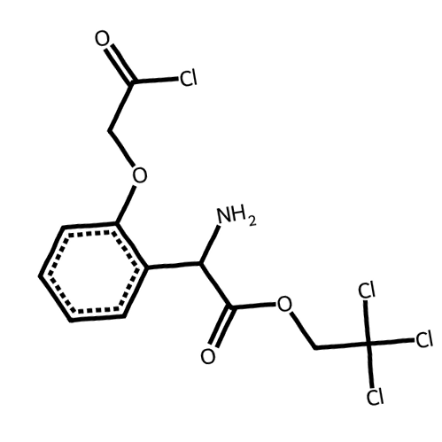 NC(C(=O)OCC(Cl)(Cl)Cl)c1ccccc1OCC(=O)Cl